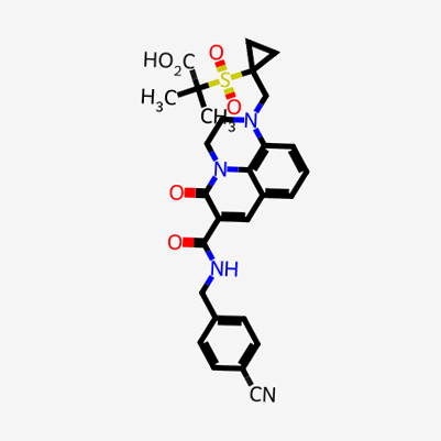 CC(C)(C(=O)O)S(=O)(=O)C1(CN2CCn3c(=O)c(C(=O)NCc4ccc(C#N)cc4)cc4cccc2c43)CC1